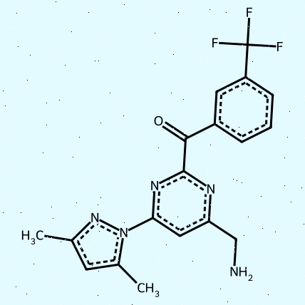 Cc1cc(C)n(-c2cc(CN)nc(C(=O)c3cccc(C(F)(F)F)c3)n2)n1